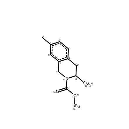 Cc1ccc2c(c1)CN(C(=O)OC(C)(C)C)C(C(=O)O)C2